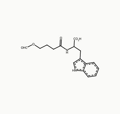 O=COCCCC(=O)NC(Cc1c[nH]c2ccccc12)C(=O)O